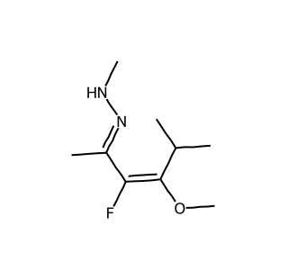 CN/N=C(C)/C(F)=C(/OC)C(C)C